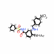 CC(=O)Nc1ccc(C(=O)NS(=O)(=O)c2ccccc2)cc1NCc1ccc([N+](=O)[O-])cc1